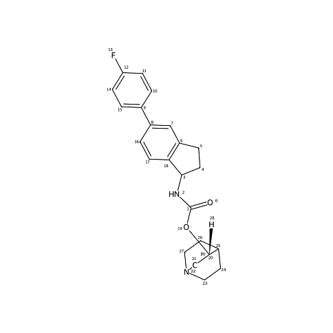 O=C(NC1CCc2cc(-c3ccc(F)cc3)ccc21)O[C@H]1CN2CCC1CC2